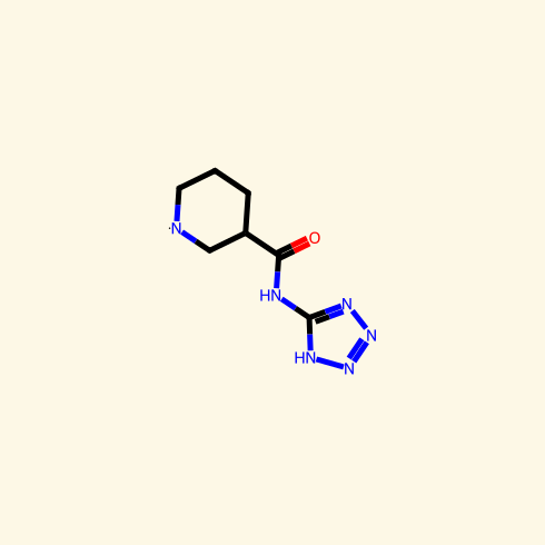 O=C(Nc1nnn[nH]1)C1CCC[N]C1